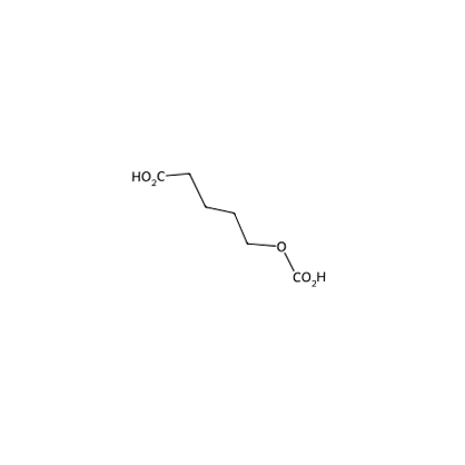 O=C(O)CCCCOC(=O)O